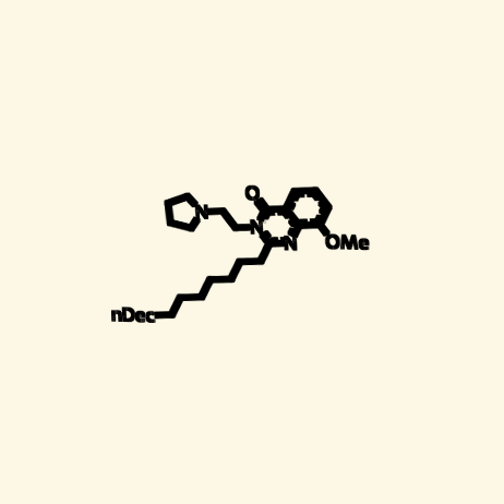 CCCCCCCCCCCCCCCCCc1nc2c(OC)cccc2c(=O)n1CCN1CCCC1